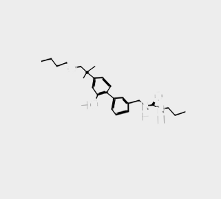 CCCCOCC(C)(C)c1ccc(-c2cccc(CNC(=O)NCCC)c2)c(O)c1